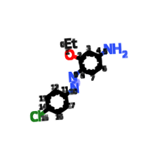 CCOc1cc(N)ccc1/N=N/c1ccc(Cl)cc1